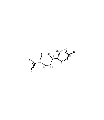 CC(=O)C1CCC(c2ccc(C)cc2)CC1